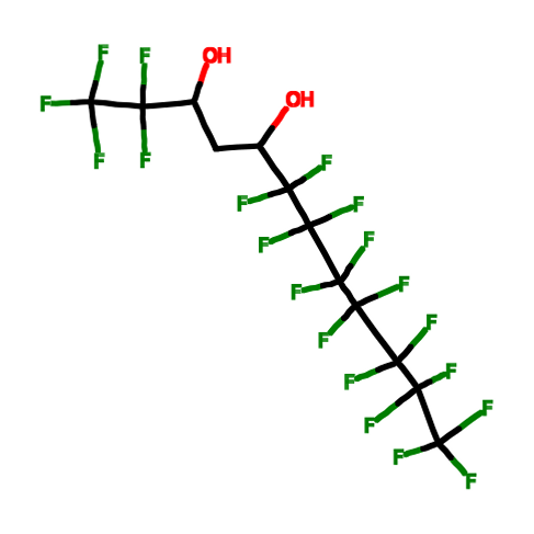 OC(CC(O)C(F)(F)C(F)(F)C(F)(F)C(F)(F)C(F)(F)C(F)(F)C(F)(F)F)C(F)(F)C(F)(F)F